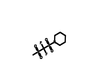 CS(=O)(=O)C(F)(F)S(=O)(=O)N1CCCCC1